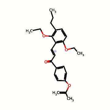 C=C(C)Oc1ccc(C(=O)/C=C/c2c(OCC)ccc(CCC)c2OCC)cc1